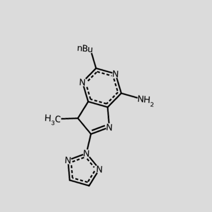 CCCCc1nc(N)c2c(n1)C(C)C(n1nccn1)=N2